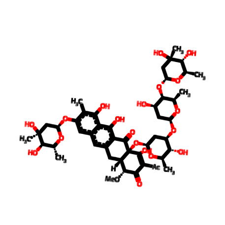 CO[C@H]1C(=O)C(C(C)=O)=C(O)[C@@]2(O[C@H]3C[C@@H](O[C@H]4C[C@@H](O)[C@@H](O[C@@H]5C[C@](C)(O)[C@H](O)[C@@H](C)O5)[C@@H](C)O4)[C@H](O)[C@@H](C)O3)C(=O)c3c(cc4cc(O[C@@H]5C[C@](C)(O)[C@H](O)[C@@H](C)O5)c(C)c(O)c4c3O)C[C@@H]12